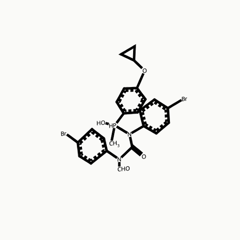 C[PH](O)(c1ccc(OC2CC2)cc1)N(C(=O)N(C=O)c1ccc(Br)cc1)c1ccc(Br)cc1